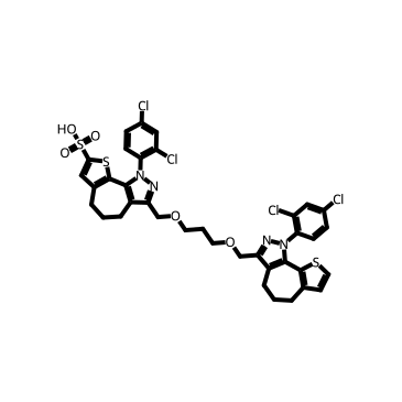 O=S(=O)(O)c1cc2c(s1)-c1c(c(COCCCOCc3nn(-c4ccc(Cl)cc4Cl)c4c3CCCc3ccsc3-4)nn1-c1ccc(Cl)cc1Cl)CCC2